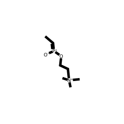 C/C=[P+](\[O-])OCC[N+](C)(C)C